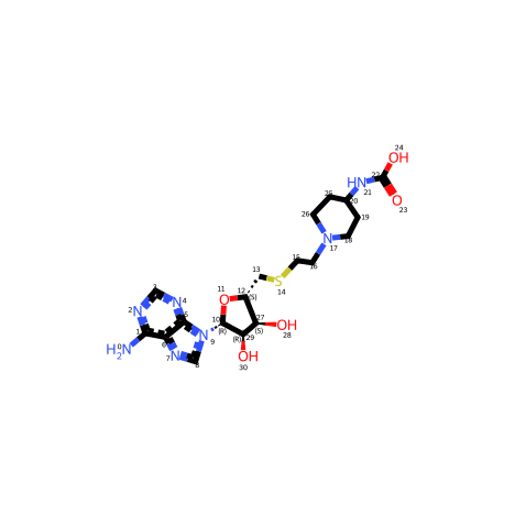 Nc1ncnc2c1ncn2[C@@H]1O[C@H](CSCCN2CCC(NC(=O)O)CC2)[C@@H](O)[C@H]1O